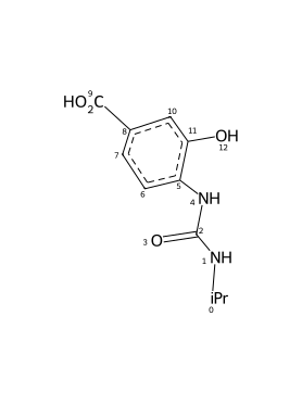 CC(C)NC(=O)Nc1ccc(C(=O)O)cc1O